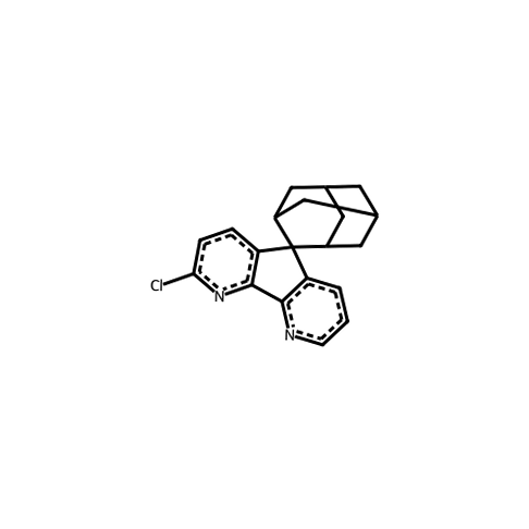 Clc1ccc2c(n1)-c1ncccc1C21C2CC3CC(C2)CC1C3